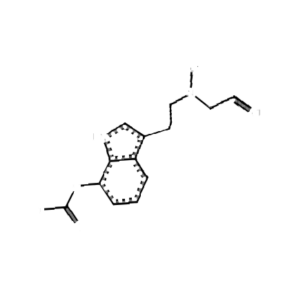 C=CCN(CC)CCc1c[nH]c2c(OC(=O)CCC)cccc12